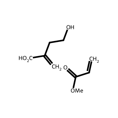 C=C(CCO)C(=O)O.C=CC(=O)OC